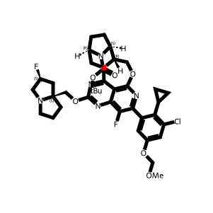 COCOc1cc(Cl)c(C2CC2)c(-c2nc3c4c(nc(OC[C@@]56CCCN5C[C@@H](F)C6)nc4c2F)N2C[C@H]4CC[C@@H]([C@@H]2CO3)N4C(=O)OC(C)(C)C)c1